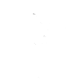 CC(C)C[C@H](NC(=O)[C@@H](NC(=O)[C@@H](N)CCCCN)C(C)C)C(=O)O